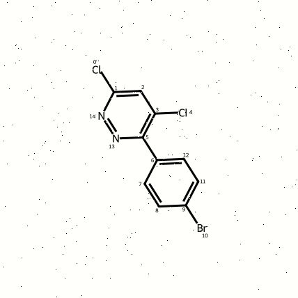 Clc1cc(Cl)c(-c2ccc(Br)cc2)nn1